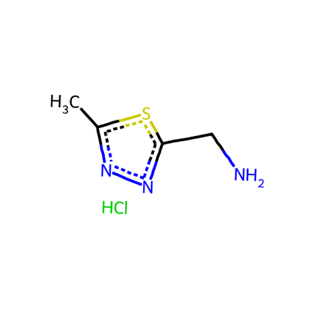 Cc1nnc(CN)s1.Cl